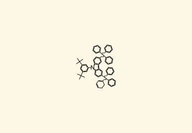 CC(C)(C)c1cc(-n2c3ccc(S(C4=CC=CCC4)(c4ccccc4)c4ccccc4)cc3c3cc(S(c4ccccc4)(c4ccccc4)c4ccccc4)ccc32)cc(C(C)(C)C)c1